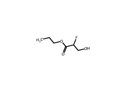 CCCOC(=O)C(F)CO